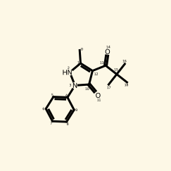 Cc1[nH]n(-c2ccccc2)c(=O)c1C(=O)C(C)(C)C